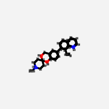 Cc1c(-c2ccc3c(c2)COC2(CCN(C(C)C)CC2)O3)ccc2cccnc12